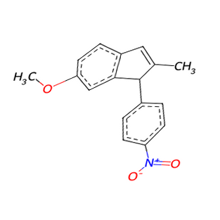 COc1ccc2c(c1)C(c1ccc([N+](=O)[O-])cc1)C(C)=C2